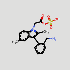 Cc1ccc2c(c1)c(-c1ccccc1CN)c(C)n2CC(=O)OS(=O)(=O)O